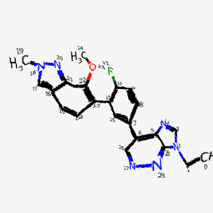 CCn1cnc2c(-c3ccc(F)c(-c4ccc5cn(C)nc5c4OC)c3)cnnc21